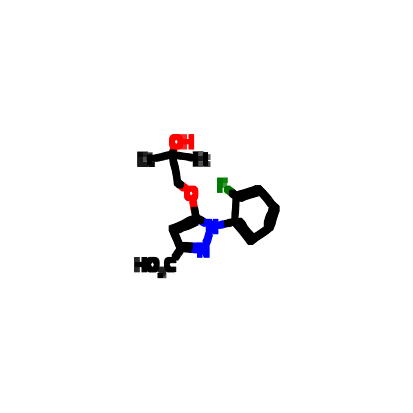 CCC(O)(CC)COc1cc(C(=O)O)nn1-c1ccccc1F